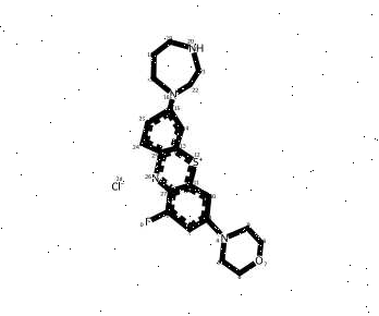 Fc1cc(N2CCOCC2)cc2[s+]c3cc(N4CCCNCC4)ccc3nc12.[Cl-]